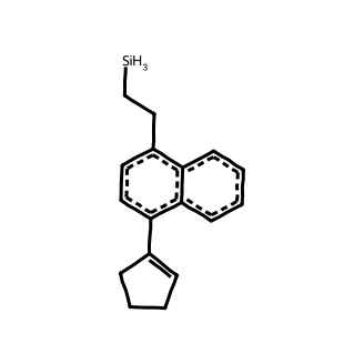 [SiH3]CCc1ccc(C2=CCCC2)c2ccccc12